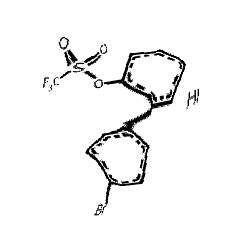 I.O=S(=O)(Oc1ccccc1-c1ccc(Br)cc1)C(F)(F)F